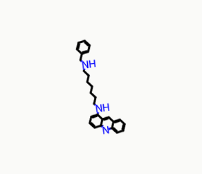 c1ccc(CNCCCCCCCNc2cccc3nc4ccccc4cc23)cc1